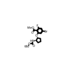 COC(=O)c1c(F)cc(Br)cc1O[C@@H]1CCC[C@H]1NC(=O)OC(C)(C)C